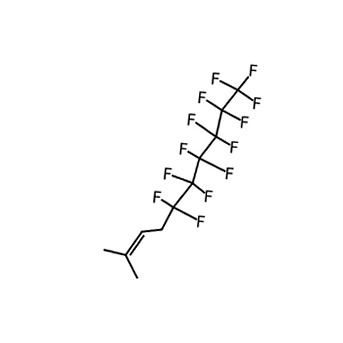 CC(C)=CCC(F)(F)C(F)(F)C(F)(F)C(F)(F)C(F)(F)C(F)(F)F